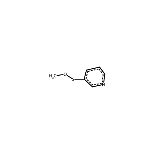 COSc1cccnc1